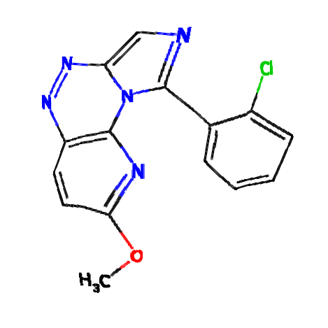 COc1ccc2nnc3cnc(-c4ccccc4Cl)n3c2n1